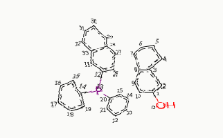 Oc1[c]c2ccccc2cc1.[c]1c(P(c2ccccc2)c2ccccc2)ccc2ccccc12